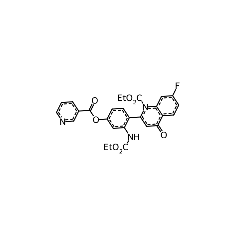 CCOC(=O)Nc1cc(OC(=O)c2cccnc2)ccc1-c1cc(=O)c2ccc(F)cc2n1C(=O)OCC